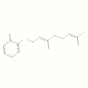 CC(C)=CCC/C(C)=C/COc1ccccc1C=O